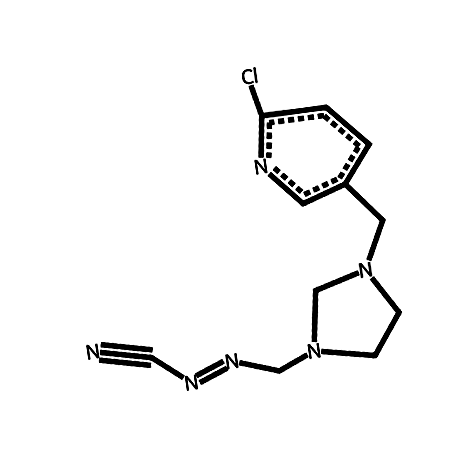 N#C/N=N/CN1CCN(Cc2ccc(Cl)nc2)C1